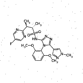 COc1cccc(OC)c1-n1c(NS(=O)(=O)[C@@H](C)[C@H](C)c2ncc(F)cn2)nnc1-c1cnn(C)c1